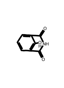 O=C1NC(=O)c2cccc1c2O